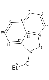 CCOC1Cc2cccc3cccc1c23